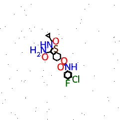 NC(=O)c1c(NC(=O)C2CC2)sc2c1CCC(OC(=O)Nc1ccc(F)c(Cl)c1)C2